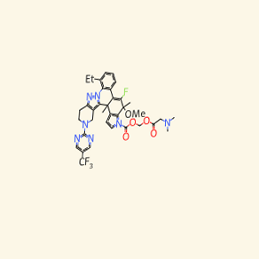 CCc1cccc2c1-n1nc3c(c1C1(C)C2=C(F)C(C)(OC)c2c1ccn2C(=O)OCOC(=O)CN(C)C)CN(c1ncc(C(F)(F)F)cn1)CC3